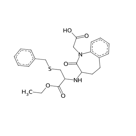 CCOC(=O)C(CSCc1ccccc1)NC1CCc2ccccc2N(CC(=O)O)C1=O